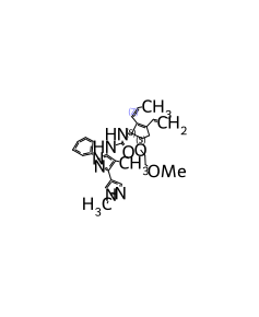 C=CC1=C(/C=C\C)[C@H](NC(=O)Nc2c(C)c(-c3cnn(C)c3)nn2-c2ccccc2)[C@@H](OCCOC)C1